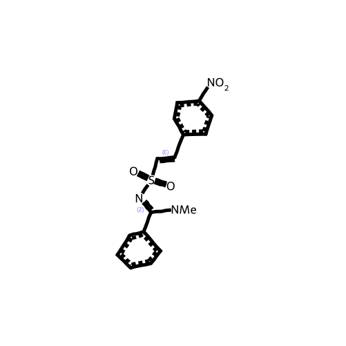 CN/C(=N\S(=O)(=O)/C=C/c1ccc([N+](=O)[O-])cc1)c1ccccc1